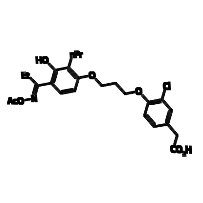 CCCc1c(OCCCOc2ccc(CC(=O)O)cc2Cl)ccc(C(CC)=NOC(C)=O)c1O